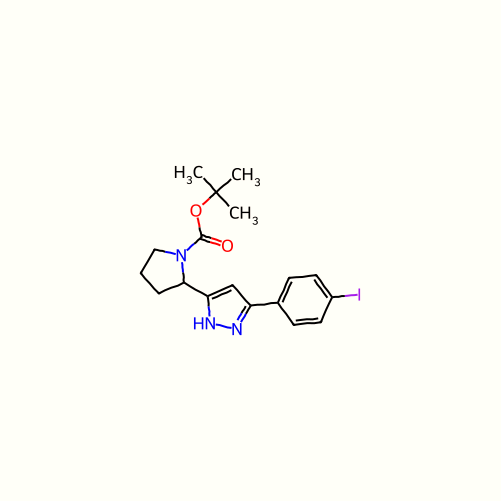 CC(C)(C)OC(=O)N1CCCC1c1cc(-c2ccc(I)cc2)n[nH]1